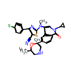 C[C@@H]1CNC[C@](C)(c2ccc3c(=O)n(C4CC4)cc(N(C)c4nc(-c5ccc(F)cc5)c(C#N)s4)c3c2)O1